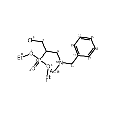 CCOP(=O)(OCC)C(CCl)CN(Cc1ccccc1)C(C)=O